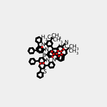 CC(C)(C)c1cc(-c2ccc3sc4ccc(C(C)(C)C)cc4c3c2)c(N2c3ccc(-c4ccccc4)cc3B3c4cc(-c5ccccc5)ccc4N(c4c(-c5cccc6c5sc5ccccc56)cccc4-n4c5ccccc5c5ccccc54)c4cc(-n5c6ccccc6c6cc(C#N)ccc65)cc2c43)c(-n2c3ccccc3c3ccccc32)c1